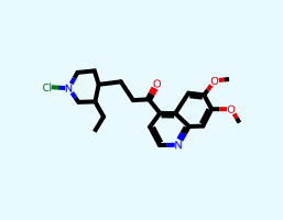 CCC1CN(Cl)CCC1CCC(=O)c1ccnc2cc(OC)c(OC)cc12